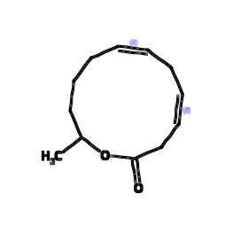 CC1CCC/C=C\C/C=C\CC(=O)O1